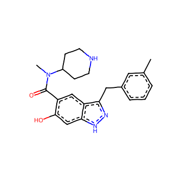 Cc1cccc(Cc2n[nH]c3cc(O)c(C(=O)N(C)C4CCNCC4)cc23)c1